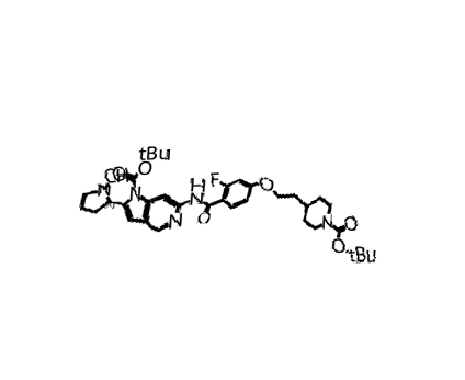 CN1CCC[C@@H]1c1cc2cnc(NC(=O)c3ccc(OCCC4CCN(C(=O)OC(C)(C)C)CC4)cc3F)cc2n1C(=O)OC(C)(C)C